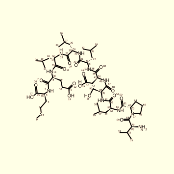 CSCC[C@H](NC(=O)[C@H](CCC(=O)O)NC(=O)[C@H](CC(C)C)NC(=O)[C@H](CC(C)C)NC(=O)[C@H](CC(C)C)NC(=O)[C@H](CC(=O)O)NC(=O)[C@H](CO)NC(=O)[C@H](CC(C)C)NC(=O)[C@@H]1CCCN1C(=O)[C@@H](N)C(C)C)C(=O)O